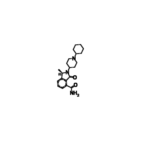 C[C@@H]1c2cccc(C(N)=O)c2C(=O)N1C1CCN(C2CCCCC2)CC1